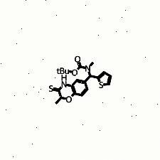 CC1Oc2ccc(C(c3cccs3)N(C)C(=O)OC(C)(C)C)cc2NC1=S